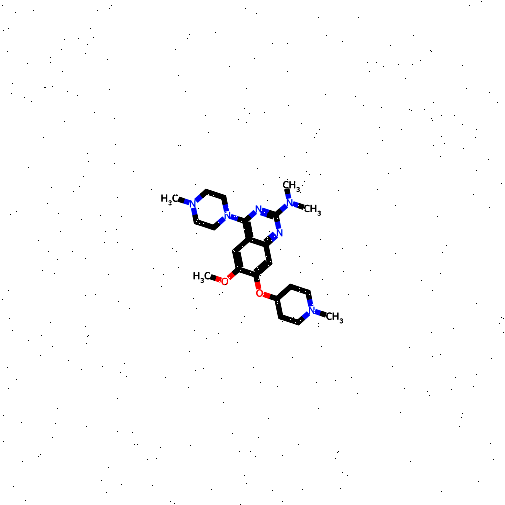 COc1cc2c(N3CCN(C)CC3)nc(N(C)C)nc2cc1OC1CCN(C)CC1